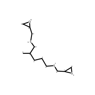 CC(CCCSCC1CS1)CSCC1CO1